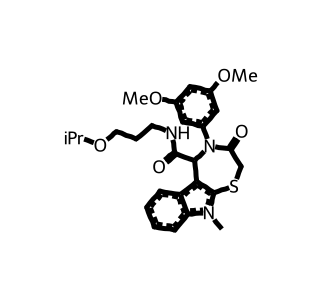 COc1cc(OC)cc(N2C(=O)CSc3c(c4ccccc4n3C)C2C(=O)NCCCOC(C)C)c1